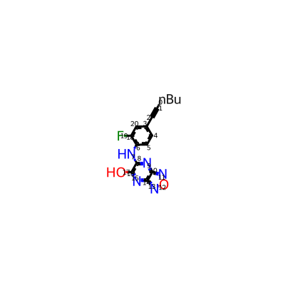 CCCCC#Cc1ccc(Nc2nc3nonc3nc2O)c(F)c1